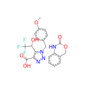 COc1ccc(Cn2nnc(C(=O)O)c2C(O)C(F)(F)F)cc1.O=C1Nc2ccccc2CO1